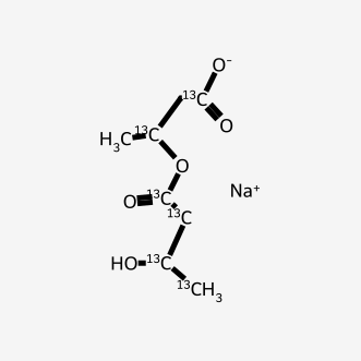 C[13CH](C[13C](=O)[O-])O[13C](=O)[13CH2][13CH]([13CH3])O.[Na+]